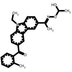 CCn1c2ccc(C(=O)c3ccccc3C)cc2c2cc(/C(C)=N/OC(C)O)ccc21